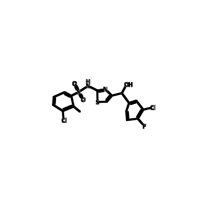 Cc1c(Cl)cccc1S(=O)(=O)Nc1nc(C(O)c2ccc(F)c(Cl)c2)cs1